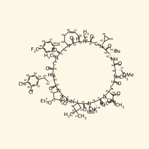 CCO[C@@H]1C[C@H]2C(=O)NC3(CC(C)(C)C3)C(=O)N(C)[C@@H](CC(C)(C)C)C(=O)N(C)[C@H](C(=O)N(C)C)CC(=O)N(C)[C@@H](COC)C(=O)N[C@@H]([C@@H](C)CC)C(=O)N(C3CC3)CC(=O)N(C)[C@H]3C/C=C\CCN(C3=O)[C@@H](Cc3ccc(C(F)(F)F)cc3)C(=O)N(C)CC(=O)N[C@@H](CCc3ccc(Cl)c(Cl)c3)C(=O)N2C1